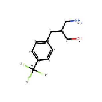 NCC(CO)Cc1ccc(C(F)(F)F)cc1